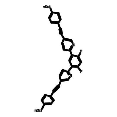 CCCCCCCCc1ccc(C#Cc2ccc(-c3cc(-c4ccc(C#Cc5ccc(CCCCCCCC)cc5)cn4)c(F)cc3F)nc2)cc1